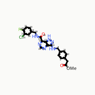 COC(=O)Cc1ccc(CNc2n[nH]c3c(C(=O)NCc4ccc(F)c(Cl)c4)ncnc23)cc1